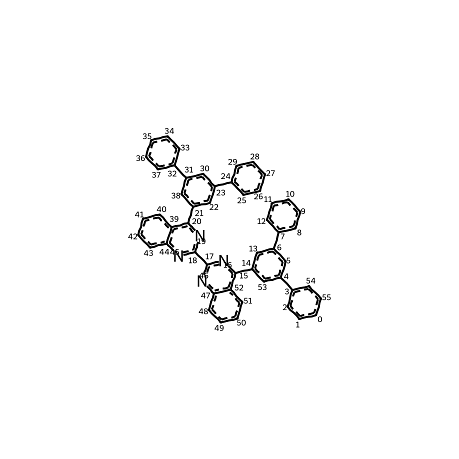 c1ccc(-c2cc(-c3ccccc3)cc(-c3nc(-c4nc(-c5cc(-c6ccccc6)cc(-c6ccccc6)c5)c5ccccc5n4)nc4ccccc34)c2)cc1